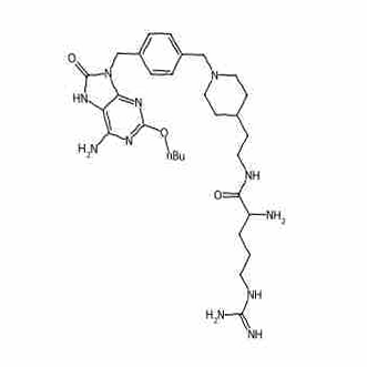 CCCCOc1nc(N)c2[nH]c(=O)n(Cc3ccc(CN4CCC(CCNC(=O)C(N)CCCNC(=N)N)CC4)cc3)c2n1